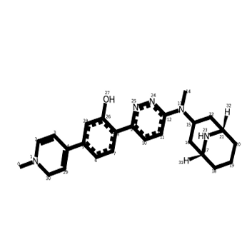 CN1C=CC(c2ccc(-c3ccc(N(C)C4C[C@H]5CCC[C@@H](C4)N5)nn3)c(O)c2)=CC1